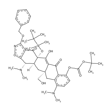 CN(C)c1ccc(OC(=O)OC(C)(C)C)c2c1C[C@@]1(CO)C[C@H]3[C@H](N(C)C)c4onc(OCc5ccccc5)c4C(=O)[C@@]3(O[Si](C)(C)C(C)(C)C)C(O)=C1C2=O